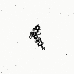 N#CC1CCN(S(=O)(=O)c2cc(C(N)=O)c(NC(=O)c3ccccc3F)s2)CC1